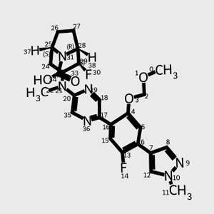 COCOc1cc(-c2cnn(C)c2)c(F)cc1-c1cnc(N(C)[C@H]2C[C@@H]3CC[C@H]([C@H]2F)N3C(=O)O)cn1